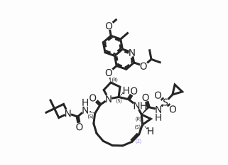 COc1ccc2c(O[C@@H]3C[C@H]4C(=O)N[C@]5(C(=O)NS(=O)(=O)C6CC6)C[C@H]5/C=C\CCCCC[C@H](NC(=O)N5CC(C)(C)C5)C(=O)N4C3)cc(OC(C)C)nc2c1C